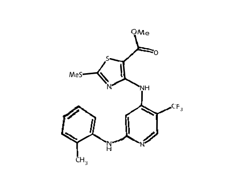 COC(=O)c1sc(SC)nc1Nc1cc(Nc2ccccc2C)ncc1C(F)(F)F